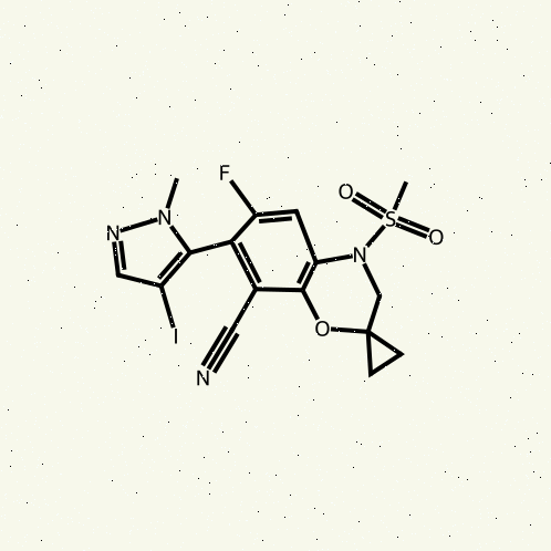 Cn1ncc(I)c1-c1c(F)cc2c(c1C#N)OC1(CC1)CN2S(C)(=O)=O